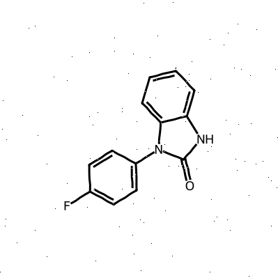 O=c1[nH]c2c[c]ccc2n1-c1ccc(F)cc1